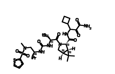 CC(C)[C@@H](CN(C)S(=O)(=O)c1cccs1)NC(=O)N[C@H](C(=O)N1C[C@H]2[C@@H]([C@H]1C(=O)NC(C(=O)C(N)=O)C1CCC1)C2(C)C)C(C)(C)C